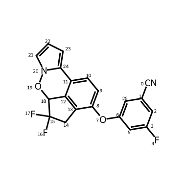 N#Cc1cc(F)cc(Oc2ccc3c4c2CC(F)(F)C4On2cccc2-3)c1